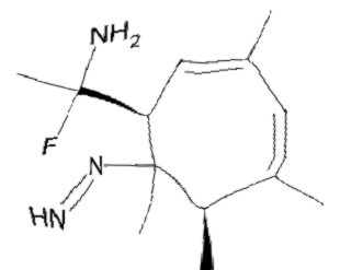 CC1=C[C@H](C(C)(N)F)C(C)(N=N)[C@H](C)C(C)=C1